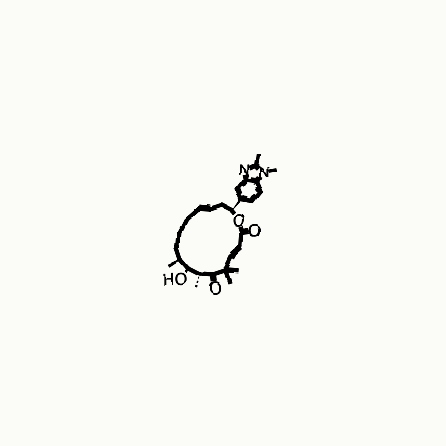 Cc1nc2cc([C@@H]3C/C=C/CCC[C@H](C)[C@H](O)[C@@H](C)C(=O)C(C)(C)/C=C/C(=O)O3)ccc2n1C